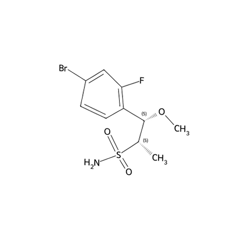 CO[C@@H](c1ccc(Br)cc1F)[C@H](C)S(N)(=O)=O